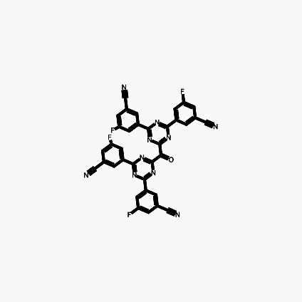 N#Cc1cc(F)cc(-c2nc(C(=O)c3nc(-c4cc(F)cc(C#N)c4)nc(-c4cc(F)cc(C#N)c4)n3)nc(-c3cc(F)cc(C#N)c3)n2)c1